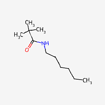 CCCCCCNC(=O)C(C)(C)C